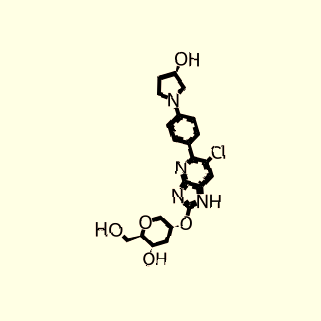 OC[C@H]1OC[C@H](Oc2nc3nc(-c4ccc(N5CC[C@@H](O)C5)cc4)c(Cl)cc3[nH]2)C[C@@H]1O